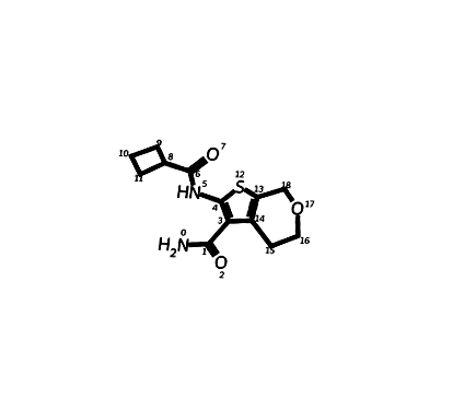 NC(=O)c1c(NC(=O)C2CCC2)sc2c1CCOC2